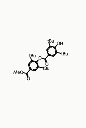 COC(=O)c1cc(C(C)(C)C)c(OC(=O)c2cc(C(C)(C)C)c(O)c(C(C)(C)C)c2)c(C(C)(C)C)c1